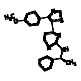 COc1ccc(-c2ncsc2-c2ccnc(N[C@@H](C)c3ccccc3)n2)cc1